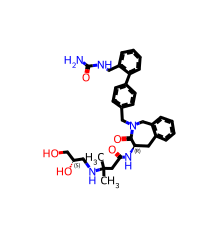 CC(C)(CC(=O)N[C@@H]1Cc2ccccc2CN(Cc2ccc(-c3ccccc3CNC(N)=O)cc2)C1=O)NC[C@H](O)CO